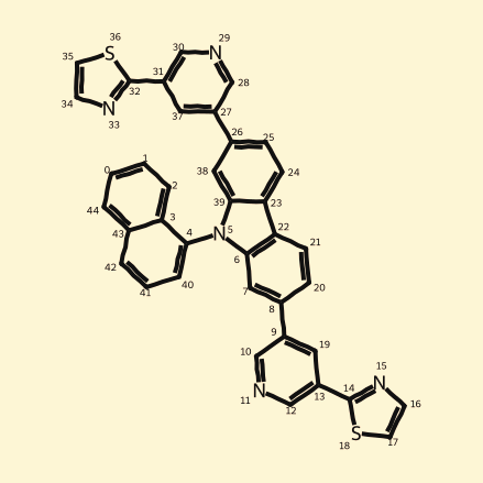 c1ccc2c(-n3c4cc(-c5cncc(-c6nccs6)c5)ccc4c4ccc(-c5cncc(-c6nccs6)c5)cc43)cccc2c1